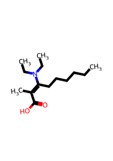 CCCCCC/C(=C(/C)C(=O)O)N(CC)CC